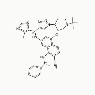 Cc1ncsc1[C@H](Nc1cc(Cl)c2ncc(C#N)c(N[C@H](C)c3ccccc3)c2c1)c1cn(C2CCN(C(C)(C)C)CC2)nn1